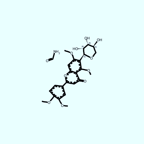 COc1ccc(-c2cc(=O)c3c(OC)c([C@@H]4OC[C@H](O)[C@@H](O)[C@H]4O)c(OC)cc3o2)cc1OC.NC=O